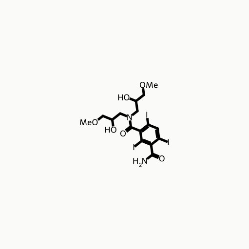 COCC(O)CN(CC(O)COC)C(=O)c1c(I)cc(I)c(C(N)=O)c1I